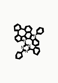 c1ccc(-c2nc(-c3ccccc3)nc(-n3c4cccc5c4c4c6c(cccc6c6c(c7ccccc7n6-c6ccccc6)c43)-c3ccccc3-5)n2)cc1